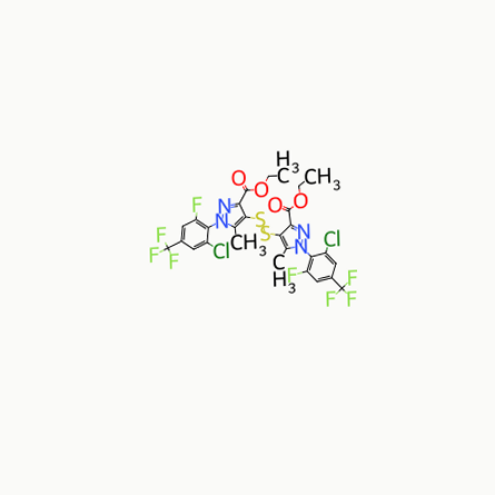 CCOC(=O)c1nn(-c2c(F)cc(C(F)(F)F)cc2Cl)c(C)c1SSc1c(C(=O)OCC)nn(-c2c(F)cc(C(F)(F)F)cc2Cl)c1C